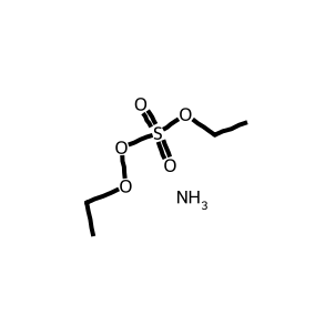 CCOOS(=O)(=O)OCC.N